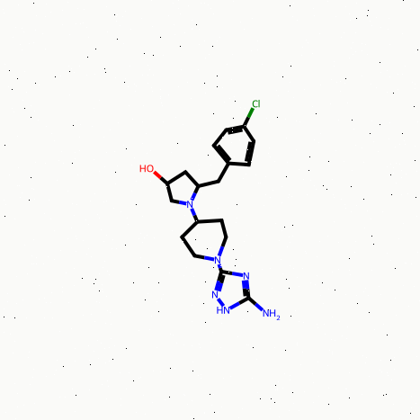 Nc1nc(N2CCC(N3CC(O)CC3Cc3ccc(Cl)cc3)CC2)n[nH]1